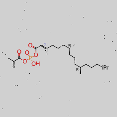 C=C(C)C(=O)OP(=O)(O)OC(=O)/C=C(\C)CCC[C@H](C)CCC[C@H](C)CCCC(C)C